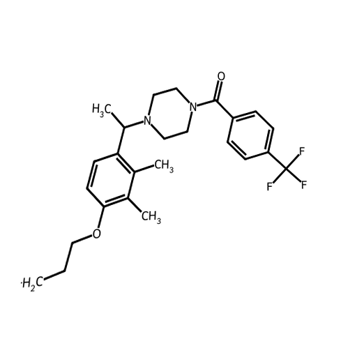 [CH2]CCOc1ccc(C(C)N2CCN(C(=O)c3ccc(C(F)(F)F)cc3)CC2)c(C)c1C